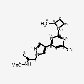 CONC(=O)Cn1cc(-c2cc(C#N)nc(N3CC[C@@H]3C)n2)cn1